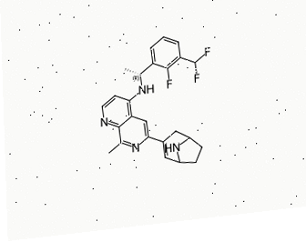 Cc1nc(C2=CC3CCC(C2)N3)cc2c(N[C@H](C)c3cccc(C(F)F)c3F)ccnc12